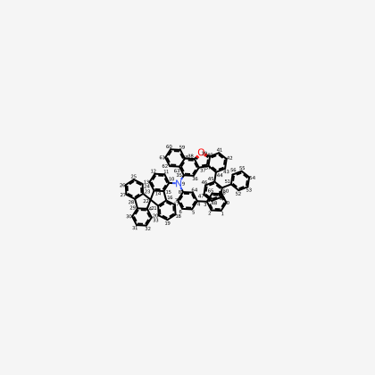 c1ccc(-c2cccc(N(c3cccc4c3-c3ccccc3C43c4ccccc4-c4ccccc43)c3cc4c(oc5cccc(-c6ccccc6-c6ccccc6)c54)c4ccccc34)c2)cc1